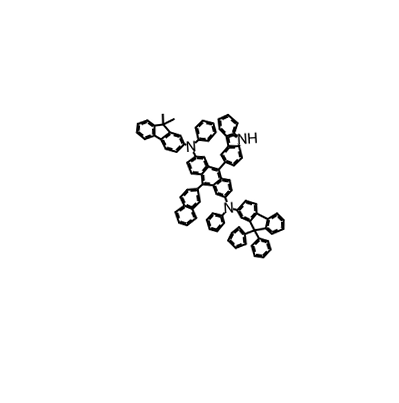 CC1(C)c2ccccc2-c2ccc(N(c3ccccc3)c3ccc4c(-c5ccc6ccccc6c5)c5cc(N(c6ccccc6)c6ccc7c(c6)C(c6ccccc6)(c6ccccc6)c6ccccc6-7)ccc5c(-c5ccc6[nH]c7ccccc7c6c5)c4c3)cc21